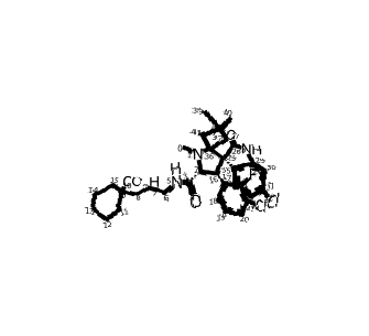 CN1[C@@H](C(=O)NCCCC2(C(=O)O)CCCCC2)[C@H](c2cccc(Cl)c2F)[C@]2(C(=O)Nc3cc(Cl)ccc32)C12CC(C)(C)C2